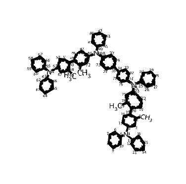 Cc1cc(N(c2ccccc2)c2ccccc2)ccc1-c1ccc(N(c2ccccc2)c2ccc(-c3ccc(N(c4ccccc4)c4ccc(-c5ccc(N(c6ccccc6)c6ccccc6)cc5C)c(C)c4)cc3)cc2)cc1C